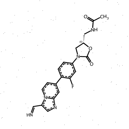 CC(=O)NC[C@H]1CN(c2ccc(-c3ccn4c(C=N)cnc4c3)c(F)c2)C(=O)O1